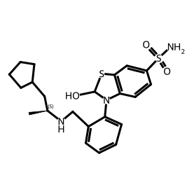 C[C@@H](CC1CCCC1)NCc1ccccc1N1c2ccc(S(N)(=O)=O)cc2SC1O